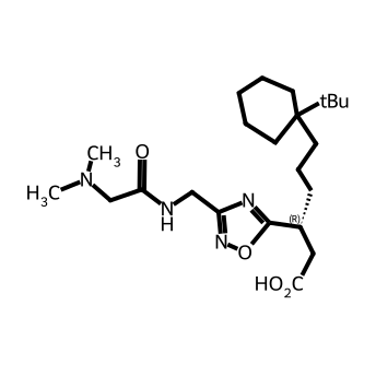 CN(C)CC(=O)NCc1noc([C@H](CCCC2(C(C)(C)C)CCCCC2)CC(=O)O)n1